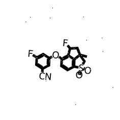 CC12CC(F)c3c(Oc4cc(F)cc(C#N)c4)ccc(c31)S(=O)(=O)C2